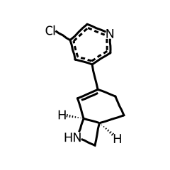 Clc1cncc(C2=C[C@@H]3NC[C@@H]3CC2)c1